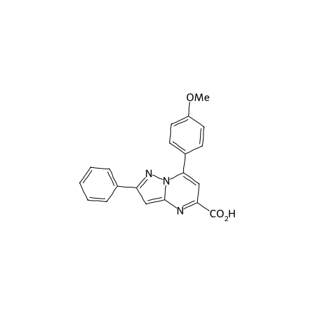 COc1ccc(-c2cc(C(=O)O)nc3cc(-c4ccccc4)nn23)cc1